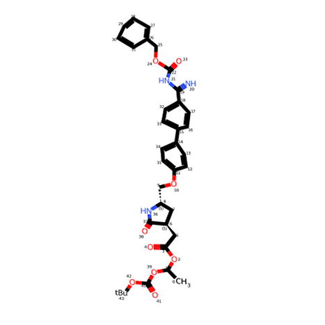 CC(OC(=O)C[C@@H]1C[C@@H](COc2ccc(-c3ccc(C(=N)NC(=O)OCc4ccccc4)cc3)cc2)NC1=O)OC(=O)OC(C)(C)C